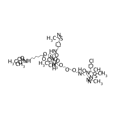 Cc1ncsc1-c1ccc(CNC(=O)[C@@H]2C[C@@H](OC(=O)CCCCCCCNC(=O)OC(C)(C)C)CN2C(=O)[C@@H](NC(=O)COCCOCCOCCNC(=O)C[C@@H]2N=C(c3ccc(Cl)cc3)c3c(sc(C)c3C)-n3c(C)nnc32)C(C)(C)C)cc1